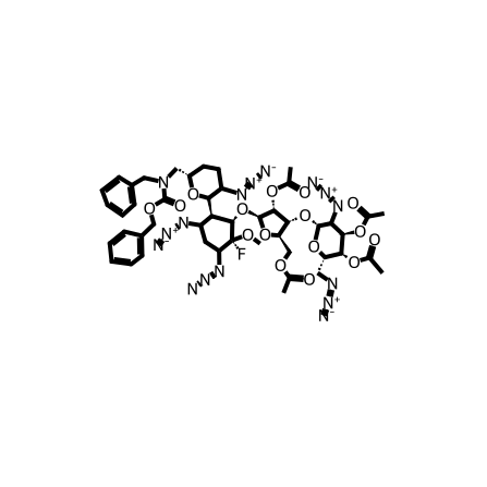 CO[C@@]1(F)C(N=[N+]=[N-])CC(N=[N+]=[N-])[C@@H](C2O[C@H](CN(Cc3ccccc3)C(=O)OCc3ccccc3)CCC2N=[N+]=[N-])[C@@H]1O[C@@H]1O[C@H](COC(C)=O)[C@@H](O[C@H]2O[C@@H](CN=[N+]=[N-])[C@@H](OC(C)=O)[C@H](OC(C)=O)C2N=[N+]=[N-])[C@H]1OC(C)=O